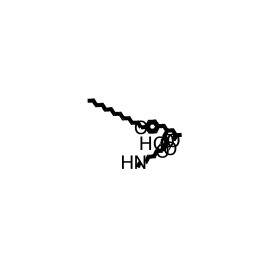 CCCCCCCCCCCCOc1ccc(CC(COP(=O)(O)OCCCCNC)CC(C)=O)cc1